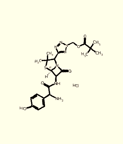 CC(C)(C)C(=O)OCn1nnc(C2N3C(=O)C(NC(=O)C(N)c4ccc(O)cc4)[C@H]3SC2(C)C)n1.Cl